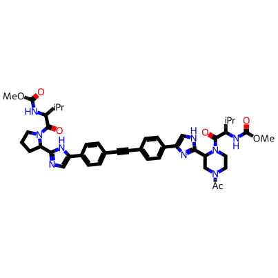 COC(=O)NC(C(=O)N1CCN(C(C)=O)CC1c1nc(-c2ccc(C#Cc3ccc(-c4cnc(C5CCCN5C(=O)C(NC(=O)OC)C(C)C)[nH]4)cc3)cc2)c[nH]1)C(C)C